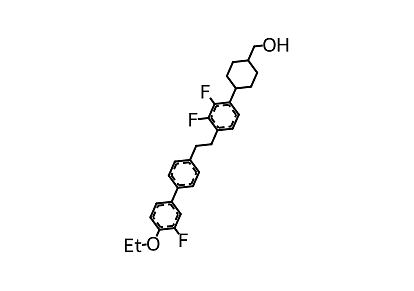 CCOc1ccc(-c2ccc(CCc3ccc(C4CCC(CO)CC4)c(F)c3F)cc2)cc1F